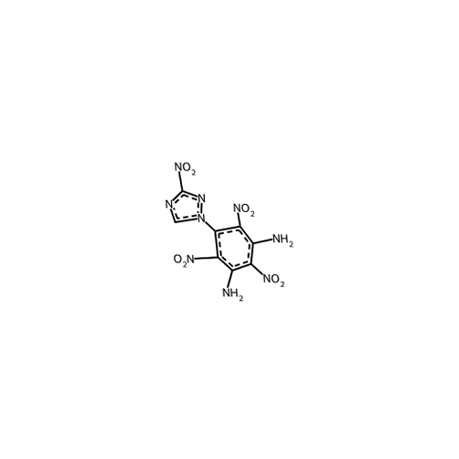 Nc1c([N+](=O)[O-])c(N)c([N+](=O)[O-])c(-n2cnc([N+](=O)[O-])n2)c1[N+](=O)[O-]